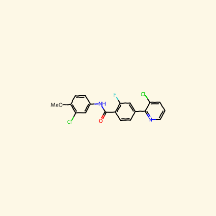 COc1ccc(NC(=O)c2ccc(-c3ncccc3Cl)cc2F)cc1Cl